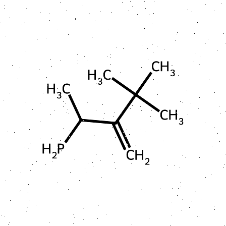 C=C(C(C)P)C(C)(C)C